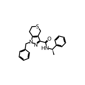 C[C@@H](NC(=O)c1nn(Cc2ccccc2)c2c1CSCC2)c1ccccc1